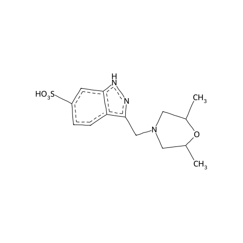 CC1CN(Cc2n[nH]c3cc(S(=O)(=O)O)ccc23)CC(C)O1